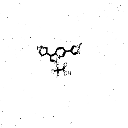 Cn1cc(-c2ccc3c(C4CCNC4)cnn3c2)cn1.O=C(O)C(F)(F)F